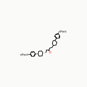 CCCCCc1ccc(C2CCC(CCC(=O)CC[C@H]3CC[C@H](c4ccc(CCCCC)cc4)CC3)CC2)cc1